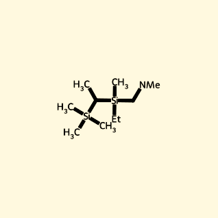 CC[Si](C)(CNC)C(C)[Si](C)(C)C